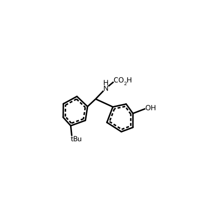 CC(C)(C)c1cccc(C(NC(=O)O)c2cccc(O)c2)c1